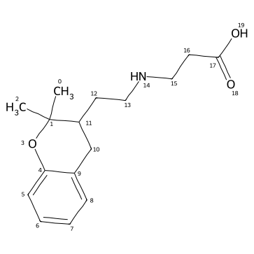 CC1(C)Oc2ccccc2CC1CCNCCC(=O)O